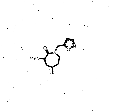 CNC1CC(C)CCN(Cc2ccno2)C1=O